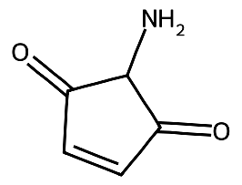 NC1C(=O)C=CC1=O